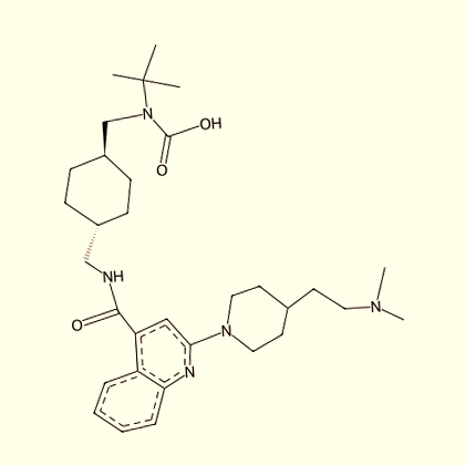 CN(C)CCC1CCN(c2cc(C(=O)NC[C@H]3CC[C@H](CN(C(=O)O)C(C)(C)C)CC3)c3ccccc3n2)CC1